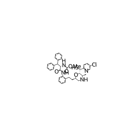 COC(=O)N[C@H](C(=O)Nc1ccccc1CC[C@@H]1CN[C@H](C)[C@@H](C(S)c2ccc(Cl)cn2)O1)C(c1ccccc1)c1ccccc1